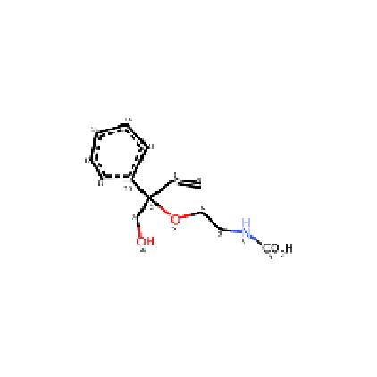 C=CC(CO)(OCCNC(=O)O)c1ccccc1